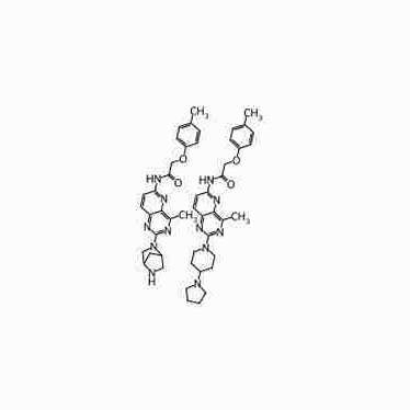 Cc1ccc(OCC(=O)Nc2ccc3nc(N4CC5CC4CN5)nc(C)c3n2)cc1.Cc1ccc(OCC(=O)Nc2ccc3nc(N4CCC(N5CCCC5)CC4)nc(C)c3n2)cc1